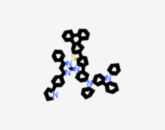 c1ccc(-c2cc(-c3ccc(-c4ccccn4)cc3)nc(-n3c4ccc(N(c5ccccc5)c5ccc6c(c5)c5ccccc5n6-c5ccccc5)cc4c4ccc5c6cc7c8ccccc8c8ccccc8c7cc6sc5c43)n2)cc1